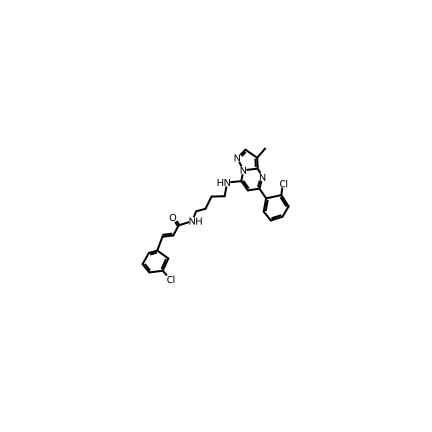 Cc1cnn2c(NCCCCNC(=O)/C=C/c3cccc(Cl)c3)cc(-c3ccccc3Cl)nc12